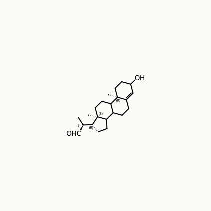 C[C@H](C=O)[C@H]1CCC2C3CCC4=CC(O)CC[C@]4(C)C3CC[C@@]21C